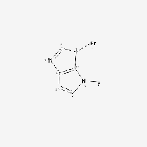 CC(C)C1C=Nc2ccn(C)c21